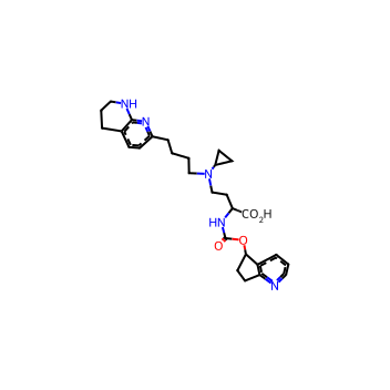 O=C(NC(CCN(CCCCc1ccc2c(n1)NCCC2)C1CC1)C(=O)O)OC1CCc2ncccc21